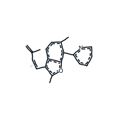 C=C(C)/C=C\c1c(C)oc2c(-c3ccccn3)c(C)ccc12